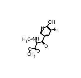 CNC(C(=O)OC)C(=O)c1cnc(O)c(Br)c1